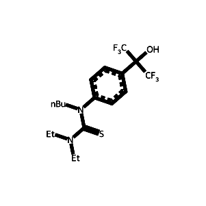 CCCCN(C(=S)N(CC)CC)c1ccc(C(O)(C(F)(F)F)C(F)(F)F)cc1